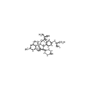 CC(C)c1cc(C(C)C)c(S(=O)(=O)C(C)N(C(=O)N2CCNCC2)c2ccc(C[C@H](N)C(=O)O)cc2NC(=N)N)c(C(C)C)c1